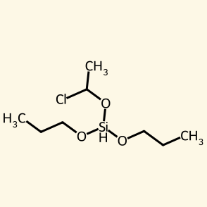 CCCO[SiH](OCCC)OC(C)Cl